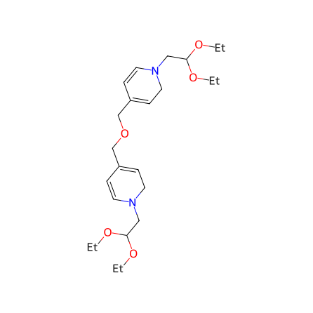 CCOC(CN1C=CC(COCC2=CCN(CC(OCC)OCC)C=C2)=CC1)OCC